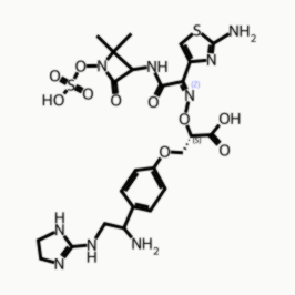 CC1(C)C(NC(=O)/C(=N\O[C@@H](COc2ccc(C(N)CNC3=NCCN3)cc2)C(=O)O)c2csc(N)n2)C(=O)N1OS(=O)(=O)O